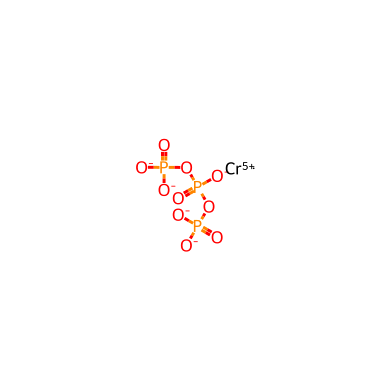 O=P([O-])([O-])OP(=O)([O-])OP(=O)([O-])[O-].[Cr+5]